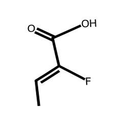 CC=C(F)C(=O)O